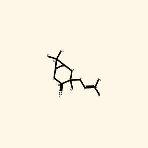 CC(C)=CCC1(C)CC2C(CC1=O)C2(C)C